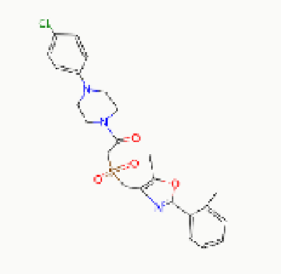 Cc1ccccc1-c1nc(CS(=O)(=O)CC(=O)N2CCN(c3ccc(Cl)cc3)CC2)c(C)o1